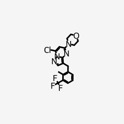 Cc1c(Cc2cnn3c(Cl)cc(N4CCOCC4)nc23)cccc1C(F)(F)F